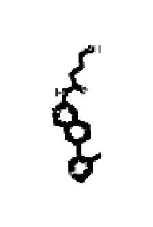 Cc1ccncc1-c1ccc2cc(NC(=O)CCCO)ncc2c1